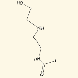 O=C(I)NCCNCCO